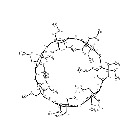 COCC1OC2OC3C(COC)OC(OC4C(COC)OC(OC5C(COC)OC(OC6C(COC)OC(OC7C(COC)OC(OC8C(COC)OC(CC8(OC)OC)OC1C(OC)C2OC)C(OC)C7OC)C(OC)C6OC)C(OC)C5OC)C(OC)C4OC)C(OC)C3OC